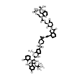 COc1cc(S(=O)(=O)N2CCC3(CC2)C[C@H]3C#Cc2cccc3c2CN([C@@H]2CCC(=O)N(COC(=O)N(CCOP(=O)(O)O)c4ncccc4COP(=O)(O)O)C2=O)C3=O)ccc1NC(=O)[C@@H]1N[C@@H](CC(C)(C)C)[C@@]2(CNc3cc(Cl)ccc32)[C@H]1c1cccc(Cl)c1F